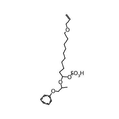 C=CCOCCCCCCCCCC(OC(C)COc1ccccc1)OS(=O)(=O)O